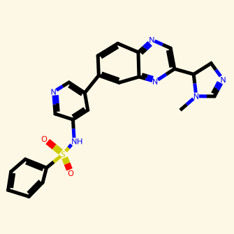 CN1C=NCC1c1cnc2ccc(-c3cncc(NS(=O)(=O)c4ccccc4)c3)cc2n1